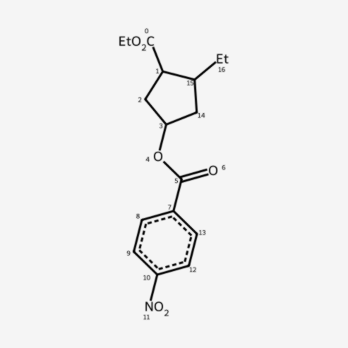 CCOC(=O)C1CC(OC(=O)c2ccc([N+](=O)[O-])cc2)CC1CC